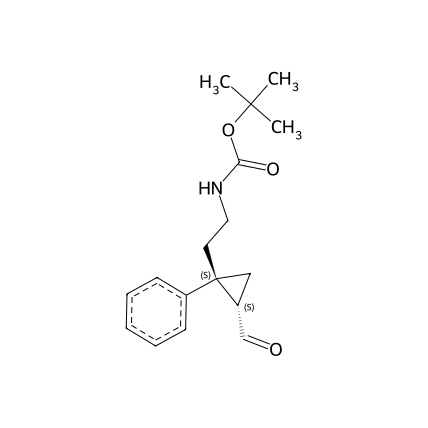 CC(C)(C)OC(=O)NCC[C@@]1(c2ccccc2)C[C@@H]1C=O